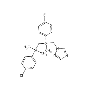 C[Si](C)(C[Si](C)(Cn1cncn1)c1ccc(F)cc1)c1ccc(Cl)cc1